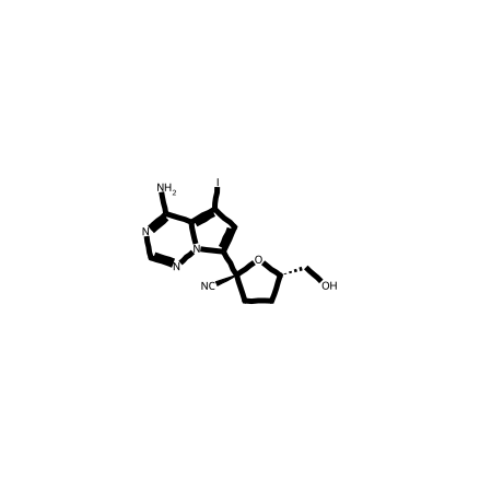 N#C[C@]1(c2cc(I)c3c(N)ncnn23)CC[C@@H](CO)O1